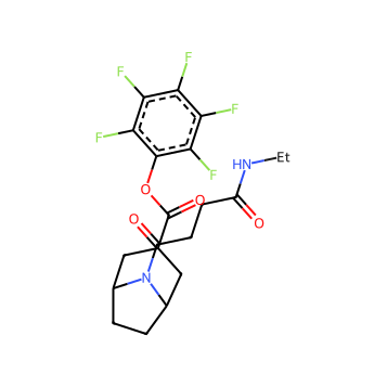 CCNC(=O)CCC(=O)N1C2CCC1CC(C(=O)Oc1c(F)c(F)c(F)c(F)c1F)C2